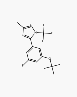 Cc1cc(-c2cc(F)cc(OC(C)(C)C)c2)n(C(F)(F)F)n1